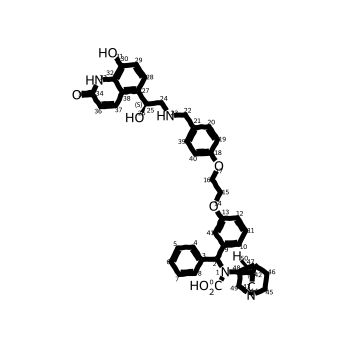 O=C(O)N(C(c1ccccc1)c1cccc(OCCOc2ccc(CNC[C@@H](O)c3ccc(O)c4[nH]c(=O)ccc34)cc2)c1)[C@H]1CN2CCC1CC2